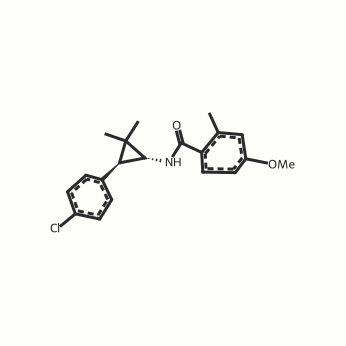 COc1ccc(C(=O)N[C@@H]2[C@@H](c3ccc(Cl)cc3)C2(C)C)c(C)c1